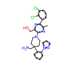 Cc1nc(N2CCC(CN)(c3ccccc3-n3cccn3)CC2)c(CO)nc1-c1cccc(Cl)c1Cl